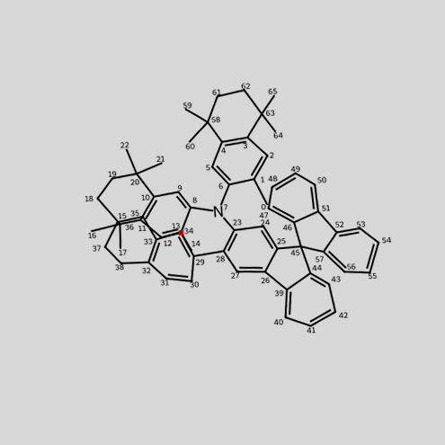 Cc1cc2c(cc1N(c1cc3c(cc1C)C(C)(C)CCC3(C)C)c1cc3c(cc1-c1ccc4c(c1)CCCC4)-c1ccccc1C31c3ccccc3-c3ccccc31)C(C)(C)CCC2(C)C